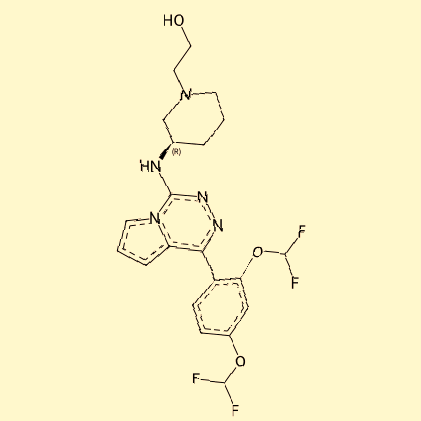 OCCN1CCC[C@@H](Nc2nnc(-c3ccc(OC(F)F)cc3OC(F)F)c3cccn23)C1